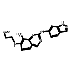 COCCNc1ccc2cnc(Nc3ccc4cn[nH]c4c3)nc2c1C